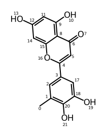 Cc1cc(-c2cc(=O)c3c(O)cc(O)cc3o2)cc(O)c1O